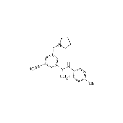 C#Cc1cc(CN2CCCC2)cc(C(Nc2ccc(C#N)cc2)C(=O)O)c1